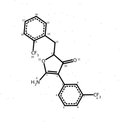 NC1=C(c2cccc(C(F)(F)F)c2)C(=O)C(Cc2ccccc2C(F)(F)F)O1